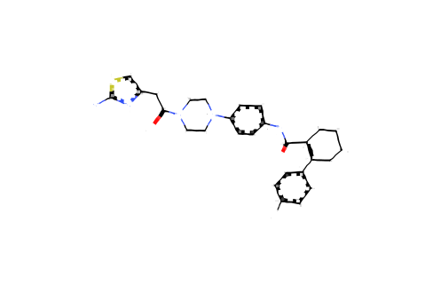 Nc1nc(CC(=O)N2CCN(c3ccc(NC(=O)C4=C(c5ccc(C(F)(F)F)cc5)CCCC4)cc3)CC2)cs1